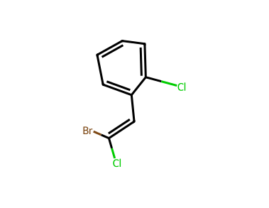 ClC(Br)=Cc1ccccc1Cl